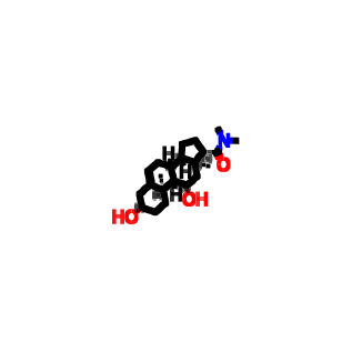 CN(C)C(=O)[C@H]1CC[C@H]2[C@@H]3CC=C4C[C@@H](O)CC[C@]4(C)[C@H]3[C@@H](O)C[C@]12C